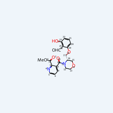 COC(=O)c1ncccc1C(=O)N1CCOC[C@H]1COc1cccc(O)c1C=O